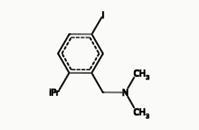 CC(C)c1ccc(I)cc1CN(C)C